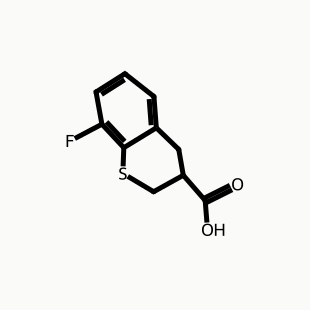 O=C(O)C1CSc2c(F)cccc2C1